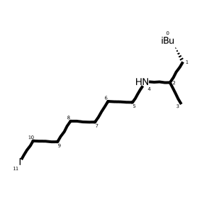 CC[C@@H](C)CC(C)NCCCCCCI